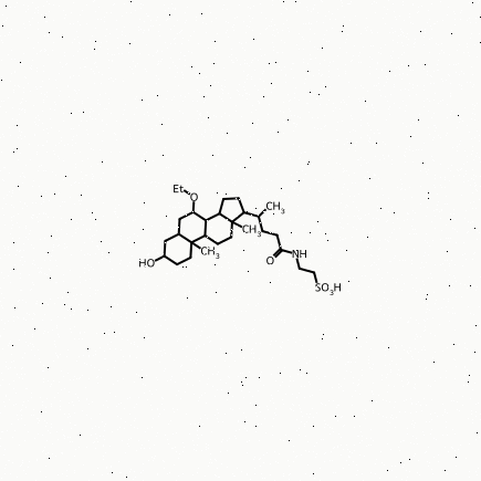 CCOC1CC2CC(O)CCC2(C)C2CCC3(C)C(C(C)CCC(=O)NCCS(=O)(=O)O)CCC3C12